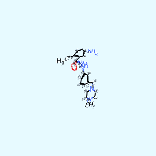 Cc1ccc(N)cc1C(=O)Nc1cccc(CN2CCN(C)CC2)c1